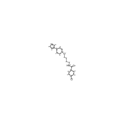 O=C(NCCCCOc1ccc(-n2ccnc2)cc1)c1ccc(Cl)cc1